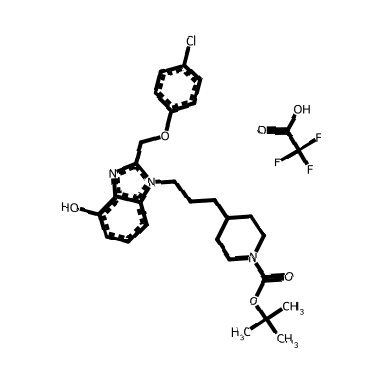 CC(C)(C)OC(=O)N1CCC(CCCn2c(COc3ccc(Cl)cc3)nc3c(O)cccc32)CC1.O=C(O)C(F)(F)F